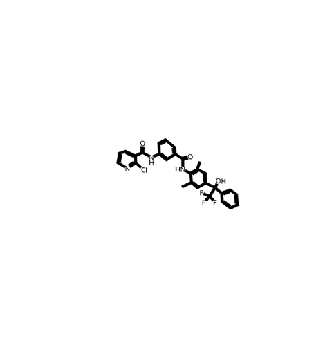 Cc1cc(C(O)(c2ccccc2)C(F)(F)F)cc(C)c1NC(=O)c1cccc(NC(=O)c2cccnc2Cl)c1